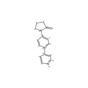 O=C1CCCN1c1cc[n+](-c2ccncc2)cc1